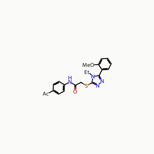 CCn1c(SCC(=O)Nc2ccc(C(C)=O)cc2)nnc1-c1ccccc1OC